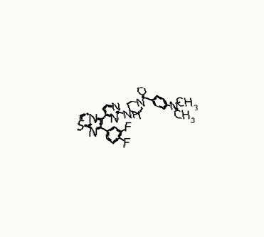 CN(C)c1ccc(C(=O)N2CCC(Nc3nccc(-c4c(-c5ccc(F)c(F)c5)nc5sccn45)n3)CC2)cc1